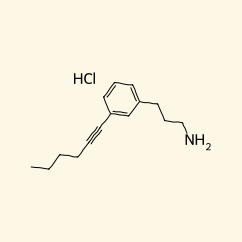 CCCCC#Cc1cccc(CCCN)c1.Cl